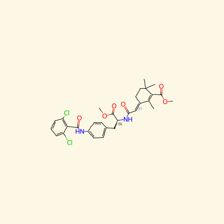 COC(=O)C1=C(C)/C(=C/C(=O)N[C@@H](Cc2ccc(NC(=O)c3c(Cl)cccc3Cl)cc2)C(=O)OC)CCC1(C)C